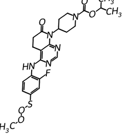 COOSc1ccc(Nc2ncnc3c2CCC(=O)N3C2CCN(C(=O)OC(C)C)CC2)c(F)c1